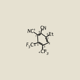 CCc1cc(C(F)(F)F)c(C(F)(F)F)c(C#N)c1C#N